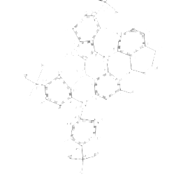 Cc1cc2c3c(c1)N(c1nccc4c1CCCC4)c1c(oc4ccc(C(C)(C)C)cc14)B3c1cc(C(C)(C)C)ccc1N2c1ccc(C(C)(C)C)cn1